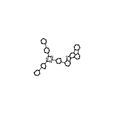 c1ccc(-c2ccc(-c3nc(-c4ccc(-c5ccccc5)cc4)nc(-c4ccc(-c5cccc6c5sc5cc7c8c(cccc8c56)-c5ccccc5-7)cc4)n3)cc2)cc1